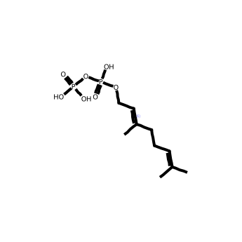 CC(C)=CCC/C(C)=C/COP(=O)(O)OP(=O)(O)O